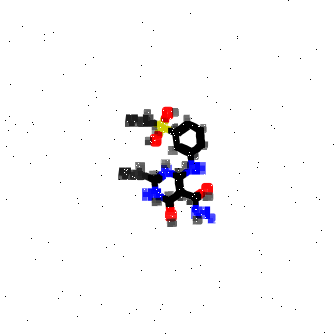 CNS(=O)(=O)c1cccc(Nc2nc(SC)[nH]c(=O)c2C(N)=O)c1